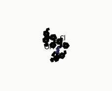 C#CC/C(=C\C=C/CN(c1ccccc1)c1cc(Cl)cc(N(c2ccccc2)c2cccc(-n3c4cc(CC)ccc4c4ccc(C(C)(C)O)cc43)c2)c1)n1c2cc(CC)ccc2c2ccc(C(C)(C)C)cc21